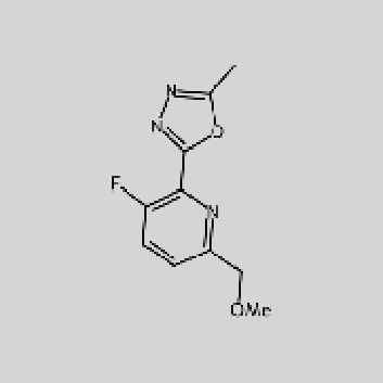 COCc1ccc(F)c(-c2nnc(C)o2)n1